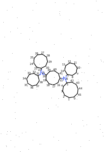 C1CCCCC(N(C2CCCCCCC2)C2CCCCC(N(C3CCCCCCCC3)C3CCCCCCC3)CCC2)CCCC1